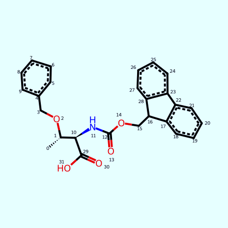 C[C@H](OCc1ccccc1)[C@@H](NC(=O)OCC1c2ccccc2-c2ccccc21)C(=O)O